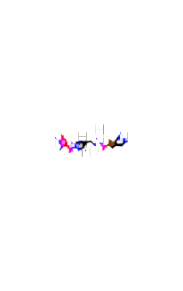 Cc1nc(C)c(C(=O)N2C[C@@H]3C(CCNC(=O)c4cc5ccncc5s4)[C@@H]3C2)o1